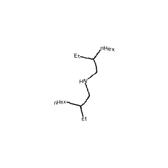 CCCCCCC(CC)CNCC(CC)CCCCCC